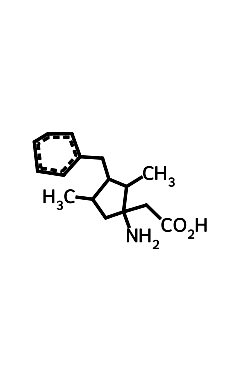 CC1CC(N)(CC(=O)O)C(C)C1Cc1ccccc1